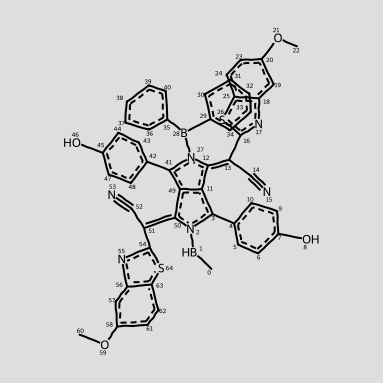 CBn1c(-c2ccc(O)cc2)c2/c(=C(\C#N)c3nc4cc(OC)ccc4s3)n(B(c3ccccc3)c3ccccc3)c(-c3ccc(O)cc3)c2/c1=C(\C#N)c1nc2cc(OC)ccc2s1